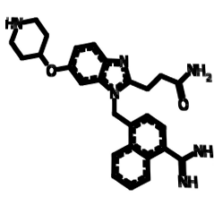 N=C(N)c1ccc(Cn2c(CCC(N)=O)nc3ccc(OC4CCNCC4)cc32)c2ccccc12